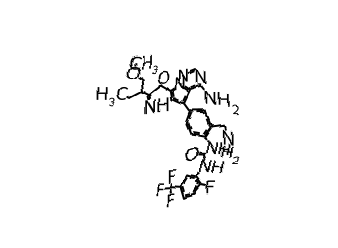 CCC(COC)C(=N)C(=O)c1cc(-c2ccc(NC(=O)Nc3cc(C(F)(F)F)ccc3F)c(CN)c2)c2c(N)ncnn12